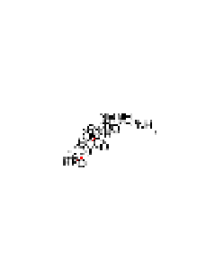 CC(=O)O[C@@H]1C[C@@]23COC[C@](C)([C@@H]2CC[C@H]2C3=CC[C@@]3(C)[C@H](C(=O)O)[C@@](C)([C@H](C)C(C)C)CC[C@]23C)[C@H]1OC(=O)CC(=N)NOC(=O)C(N)CCCCN